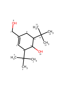 CC(C)(C)C1C=C(CO)CC(C(C)(C)C)C1O